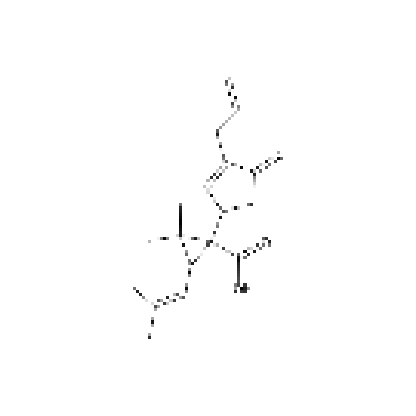 C=CCC1=CC(C2(C(=O)O)C(C=C(C)C)C2(C)C)CC1=O